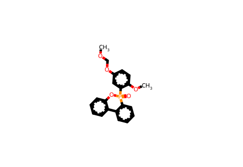 COCOc1ccc(OC)c(P2(=O)Oc3ccccc3-c3ccccc32)c1